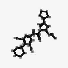 COCc1oc(N2CCCC2)nc1C(=O)Nc1cc(F)c(N2CCCCC2)c(F)c1